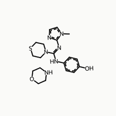 C1COCCN1.Cn1ccnc1N=C(Nc1ccc(O)cc1)N1CCSCC1